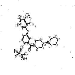 Cc1c(Cc2ccc(F)c(C(=O)N3CCC(N4CCCCC4)CC3)c2)n[nH]c(=O)c1C.O=C(O)C(F)(F)F